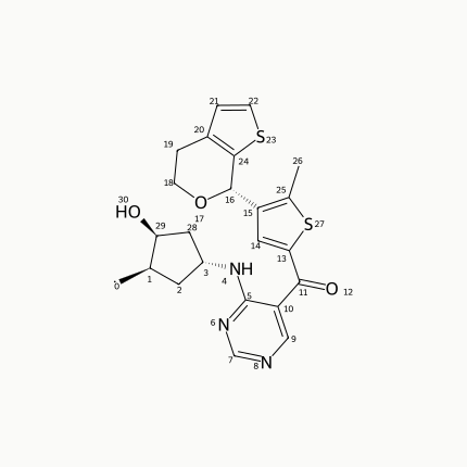 [CH2][C@@H]1C[C@@H](Nc2ncncc2C(=O)c2cc([C@@H]3OCCc4ccsc43)c(C)s2)C[C@@H]1O